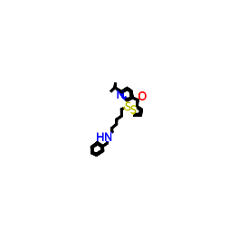 CC(C)c1ccc(C(=O)c2cccs2)c(SCCCCCCNCc2ccccc2)n1